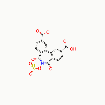 O=C(O)c1ccc2c(=O)n(O[SH](=O)=O)c(=O)c3ccc(C(=O)O)cc3c2c1